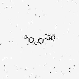 OC(Cn1cncn1)c1ccc(Oc2ccc(Cl)cc2)cc1